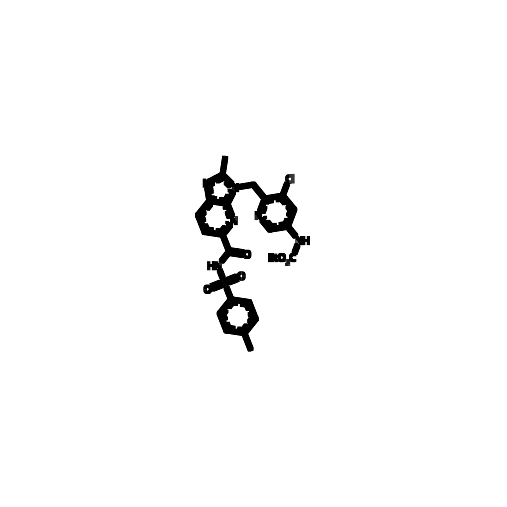 CCOC(=O)Nc1cnc(Cn2c(C)nc3ccc(C(=O)NS(=O)(=O)c4ccc(C)cc4)nc32)c(Cl)c1